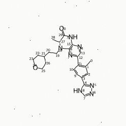 Cc1cc(-c2nnc[nH]2)ccc1-c1cnc2c(n1)N(CCC1CCOCC1)C(C)C(=O)N2